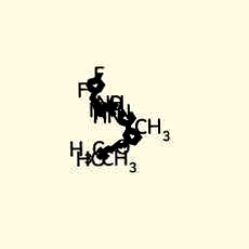 Cc1ccc(OCCCC(C)(C)O)cc1-c1ccnc(NC(=O)c2nnc(Cc3ccc(F)cc3F)[nH]2)c1